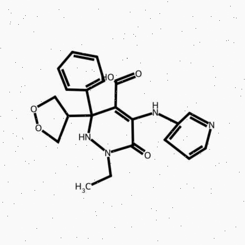 CCN1NC(c2ccccc2)(C2COOC2)C(C(=O)O)=C(Nc2cccnc2)C1=O